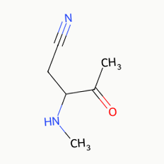 CNC(CC#N)C(C)=O